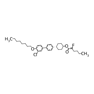 CCCCCCCCOc1ccc(-c2ccc([C@H]3CC[C@H](OC(=O)[C@@H](F)CCCC)CC3)cc2)cc1Cl